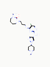 Cc1nn(C2CCN(C)CC2)cc1Nc1ncc(Cl)c(NCCCN2CCCCN(C)C2=O)n1